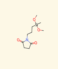 CO[Si](C)(CCCN1C(=O)CCC1=O)OC